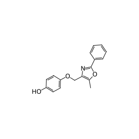 Cc1oc(-c2ccccc2)nc1COc1ccc(O)cc1